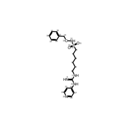 N=C(NCCCCCCS(=O)(=O)NOCc1ccccc1)Nc1ccncc1